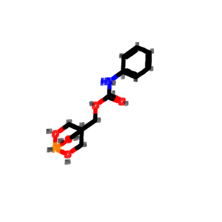 O=C(Nc1ccccc1)OCC12COP(OC1)OC2